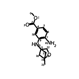 COC(=O)c1ccc(N)c(NC23COC(C)(C2)C3)c1